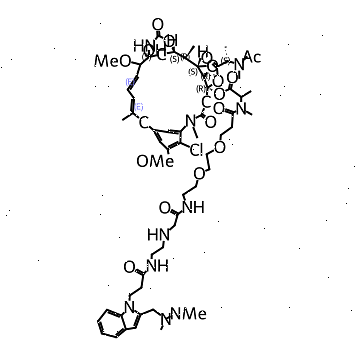 CNN(C)Cc1cc2ccccc2n1CCC(=O)NCCNCC(=O)NCCOCCOCCC(=O)N(C)C(C)C(=O)O[C@]1(OC(=O)[C@H](C)N(C)C(C)=O)CC(=O)N(C)c2cc(cc(OC)c2Cl)C/C(C)=C/C=C/C(OC)[C@@]2(O)C[C@H](OC(=O)N2)[C@@H](C)[C@@H]2O[C@]21C